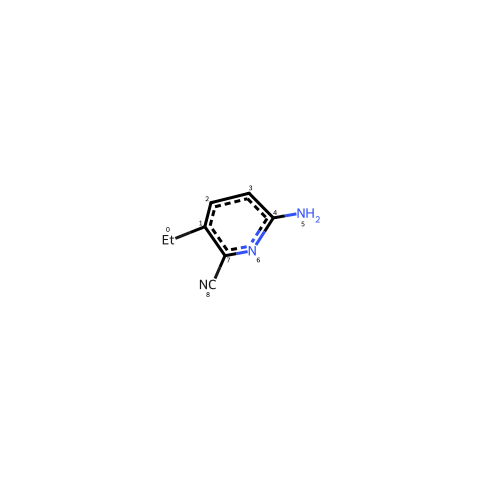 CCc1ccc(N)nc1C#N